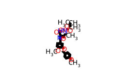 COc1ccc(COc2cc(-c3nc(C(=O)O)c(C(C)NC(=O)OC(C)(C)C)o3)ccc2OC)cc1